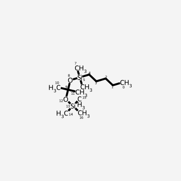 CCCCC[Si](C)(C)OC(C)(C)O[Si](C)(C)C